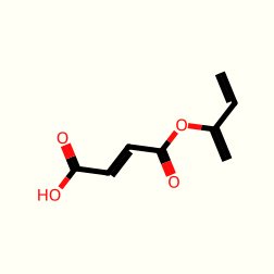 C=CC(=C)OC(=O)C=CC(=O)O